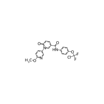 COc1ccc(-n2cc(C(=O)Nc3ccc(OC(F)(F)Cl)cc3)ccc2=O)cn1